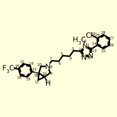 Cn1c(CCCCCN2C[C@@H]3C[C@]3(c3ccc(C(F)(F)F)cc3)C2)nnc1-c1ccccc1Cl